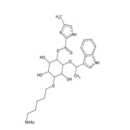 CC(=O)NCCCCCOC1C(O)C(O)C(OC(=O)c2nc(C)c[nH]2)C(OC(C)c2c[nH]c3ccccc23)C1O